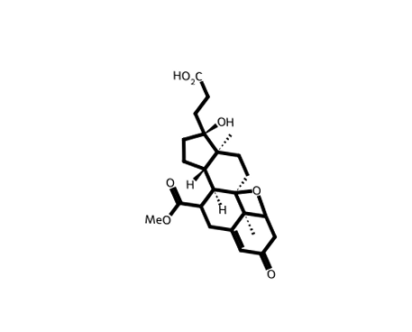 COC(=O)C1CC2=CC(=O)CC3O[C@@]4(CC[C@@]5(C)[C@@H](CC[C@]5(O)CCC(=O)O)[C@H]14)[C@]23C